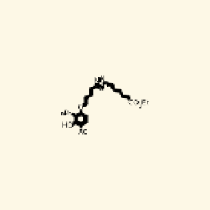 CCCc1c(OCCCCc2nnn(CCCCCC(=O)OCC)n2)ccc(C(C)=O)c1O